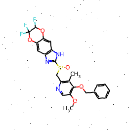 COc1cnc(C[S+]([O-])c2nc3cc4c(cc3[nH]2)OC(F)C(F)(F)O4)c(C)c1OCc1ccccc1